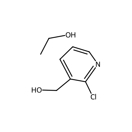 CCO.OCc1cccnc1Cl